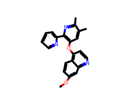 COc1ccc2c(Oc3cc(C)c(C)nc3-c3ccccn3)ccnc2c1